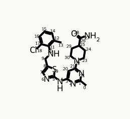 Cc1nc(Nc2ncc(CNc3c(C)cccc3Cl)s2)cc(N2CCC(C(N)=O)CC2)n1